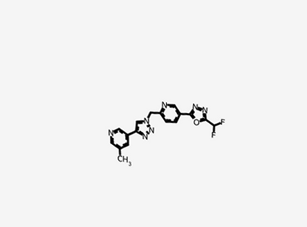 Cc1cncc(-c2cn(Cc3ccc(-c4nnc(C(F)F)o4)cn3)nn2)c1